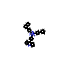 c1ccc(-c2ccc(-c3nc(-c4ccc(-c5cccc6ccccc56)cc4)nc(-c4ccc(-c5c6ccccc6nc6ccccc56)cc4)n3)cc2)cc1